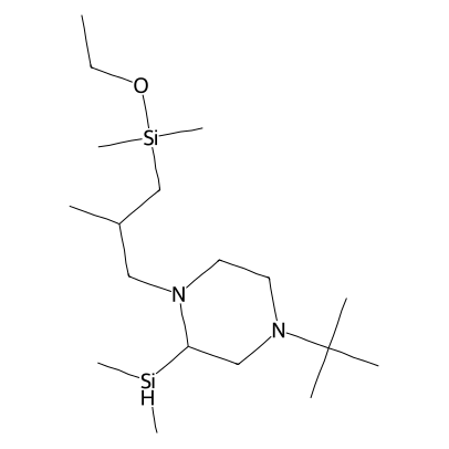 CCO[Si](C)(C)CC(C)CN1CCN(C(C)(C)C)CC1[SiH](C)C